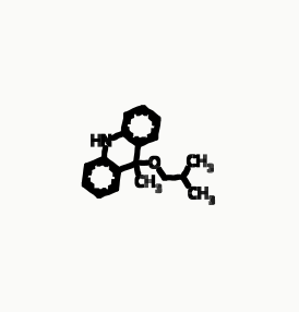 CC(C)COC1(C)c2ccccc2Nc2ccccc21